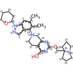 Cc1cc2c(cnn2C2CCCCO2)c(N2CCc3c(O)nc(OCC45CCCN4CCC5)nc3C2)c1C